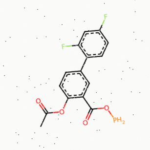 CC(=O)Oc1ccc(-c2ccc(F)cc2F)cc1C(=O)OP